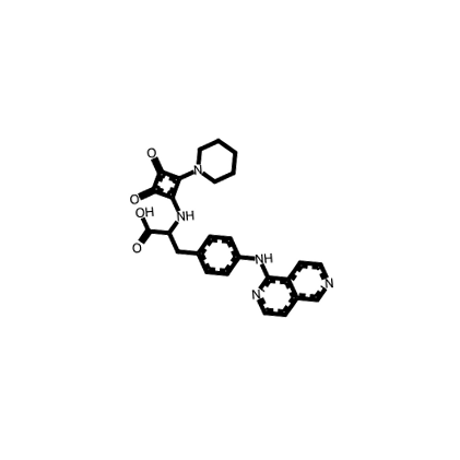 O=C(O)C(Cc1ccc(Nc2nccc3cnccc23)cc1)Nc1c(N2CCCCC2)c(=O)c1=O